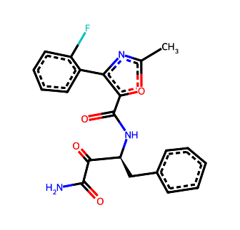 Cc1nc(-c2ccccc2F)c(C(=O)N[C@@H](Cc2ccccc2)C(=O)C(N)=O)o1